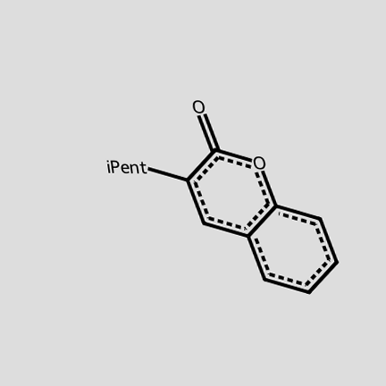 CCCC(C)c1cc2ccccc2oc1=O